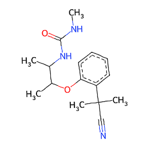 CNC(=O)NC(C)C(C)Oc1ccccc1C(C)(C)C#N